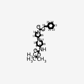 CC(C)(C)OC(=O)NC1CCN(C2CCN(C(=O)OCc3ccccc3)C2)CC1